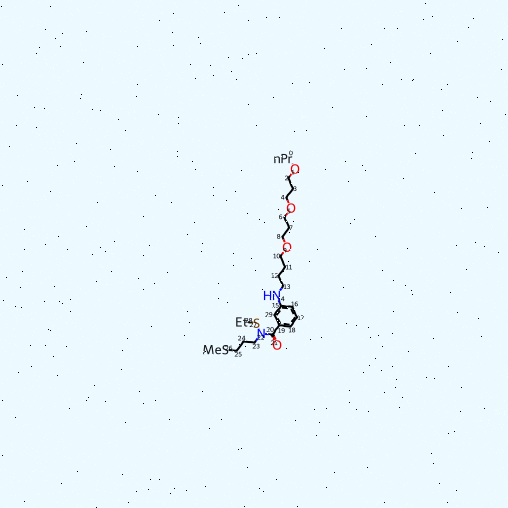 CCCOCCCOCCCOCCCCNc1cccc(C(=O)N(CCCSC)SCC)c1